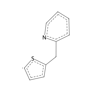 [c]1ccc(Cc2ccccn2)s1